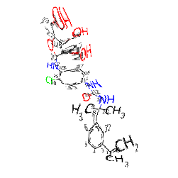 C=C(C)c1cccc(C(C)(C)NC(=O)Nc2ccc(NC3OC(CO)[C@H](O)[C@H]3O)c(Cl)c2)c1